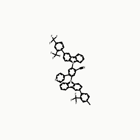 Cc1ccc(-c2ccc3c(c2)c2ccccc2n3-c2cc(C#N)c(-n3c4ccccc4c4cc(-c5ccc(C(F)(F)F)cc5C(F)(F)F)ccc43)cc2-c2ccncc2)c(C(F)(F)F)c1